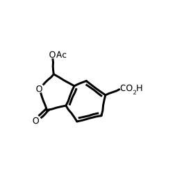 CC(=O)OC1OC(=O)c2ccc(C(=O)O)cc21